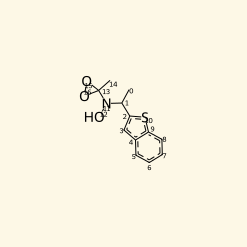 CC(c1cc2ccccc2s1)N(O)C1(C)OO1